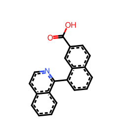 O=C(O)c1ccc2cccc(-c3nccc4ccccc34)c2c1